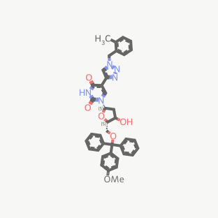 COc1ccc(C(OC[C@@H]2O[C@H](n3cc(-c4cn(Cc5ccccc5C)nn4)c(=O)[nH]c3=O)CC2O)(c2ccccc2)c2ccccc2)cc1